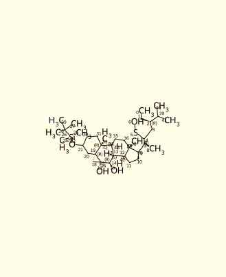 CC[C@H](CC(SO)[C@@H](C)[C@H]1CC[C@H]2[C@@H]3[C@@H](O)[C@@]4(O)C[C@@]45CC(O[Si](C)(C)C(C)(C)C)CC[C@]5(C)[C@H]3CC[C@]12C)C(C)C